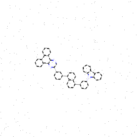 c1cc(-c2cnc3c4ccccc4c4ccccc4c3n2)cc(-c2cccc3c(-c4cccc(-n5c6ccccc6c6ccccc65)c4)cccc23)c1